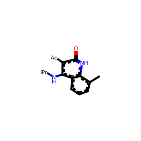 CC(=O)c1c(NC(C)C)c2cccc(C)c2[nH]c1=O